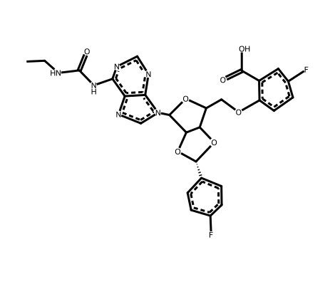 CCNC(=O)Nc1ncnc2c1ncn2C1OC(COc2ccc(F)cc2C(=O)O)C2O[C@H](c3ccc(F)cc3)OC21